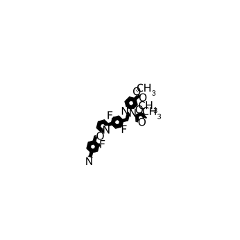 COC(=O)c1ccc2nc(Cc3cc(F)c(-c4cccc(OCc5ccc(C#N)cc5F)n4)cc3F)n(C3COCC3(C)OC)c2c1